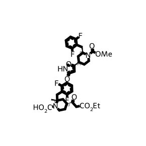 CCOC(=O)CC(=O)[C@@H]1CCN(C(=O)O)[C@](C)(Cc2c(F)cccc2F)C1.COC(=O)N1CC[C@@H](c2cc(=O)[nH]o2)C[C@H]1Cc1c(F)cccc1F